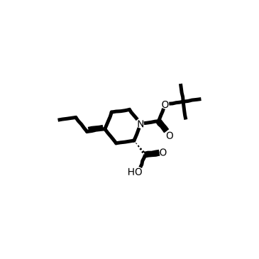 CC/C=C1\CCN(C(=O)OC(C)(C)C)[C@H](C(=O)O)C1